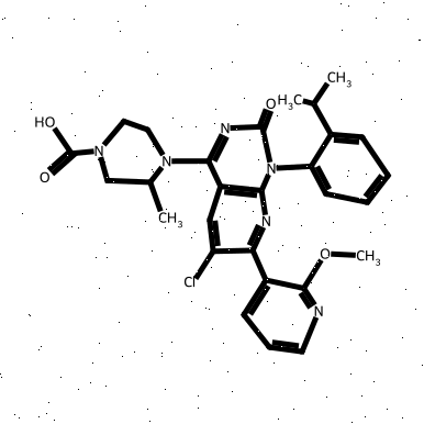 COc1ncccc1-c1nc2c(cc1Cl)c(N1CCN(C(=O)O)CC1C)nc(=O)n2-c1ccccc1C(C)C